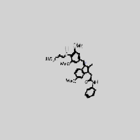 COc1ccc2c(c1)C(CC(=O)Nc1ccccc1)=C(C)/C2=C/c1cc(OC)c(NCCC(=O)O)c(OC)c1